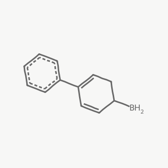 BC1C=CC(c2ccccc2)=CC1